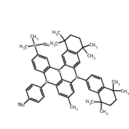 Cc1cc2c3c(c1)N(c1ccc4c(c1)C(C)(C)CCC4(C)C)c1cc4c(cc1B3c1cc([Si](C)(C)C(C)(C)C)ccc1N2c1ccc(C(C)(C)C)cc1)C(C)(C)CCC4(C)C